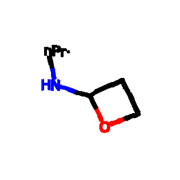 CC[CH]NC1CCO1